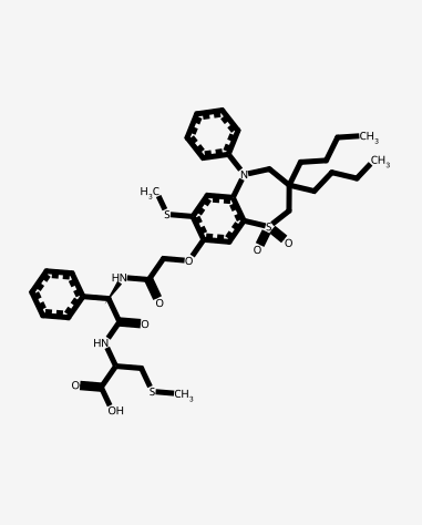 CCCCC1(CCCC)CN(c2ccccc2)c2cc(SC)c(OCC(=O)N[C@@H](C(=O)NC(CSC)C(=O)O)c3ccccc3)cc2S(=O)(=O)C1